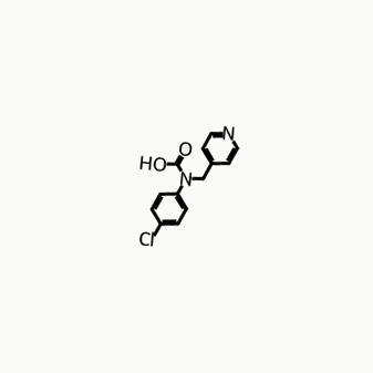 O=C(O)N(Cc1ccncc1)c1ccc(Cl)cc1